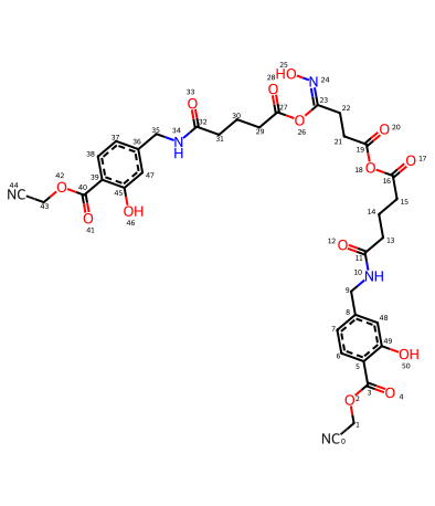 N#CCOC(=O)c1ccc(CNC(=O)CCCC(=O)OC(=O)CC/C(=N/O)OC(=O)CCCC(=O)NCc2ccc(C(=O)OCC#N)c(O)c2)cc1O